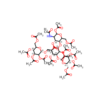 CC(=O)NC1C(OC(C)=O)OC(COC(C)=O)[C@@H](O[C@@H]2OC(CO[C@H]3OC(COC(C)=O)[C@@H](OC(C)=O)[C@H](OC(C)=O)C3OC(C)=O)[C@@H](OC(C)=O)[C@H](O[C@H]3O[C@@H](COC(C)=O)[C@@H](OC(C)=O)C(OC(C)=O)C3OC(C)=O)C2OC(C)=O)[C@@H]1OC(C)=O